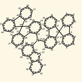 c1ccc2c(c1)-c1ccccc1C21c2ccccc2-c2c(N(c3cccc4c3-c3ccccc3C43c4ccccc4-c4ccccc43)c3cccc4c3sc3ccccc34)cccc21